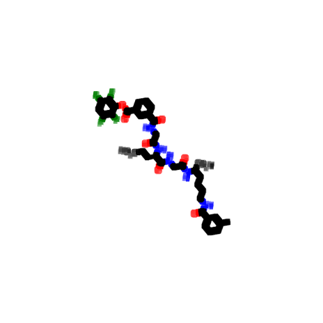 Cc1cccc(C(=O)NCCCCC(NC(=O)CNC(=O)[C@@H](CCC(=O)O)NC(=O)CNC(=O)c2cccc(C(=O)Oc3c(F)c(F)cc(F)c3F)c2)C(=O)O)c1